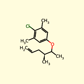 C=CC[C@H](C)C(C)Oc1cc(C)c(Cl)c(C)c1